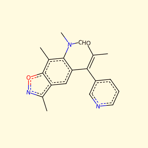 CC(C)=C(c1cccnc1)c1cc2c(C)noc2c(C)c1N(C)C=O